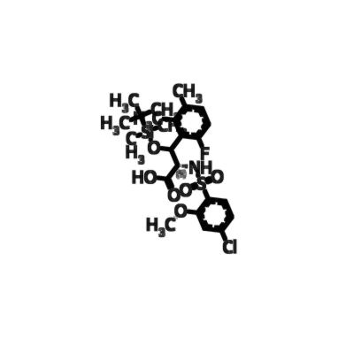 COc1cc(Cl)ccc1S(=O)(=O)N[C@H](C(=O)O)C(O[Si](C)(C)C(C)(C)C)c1c(F)ccc(C)c1C